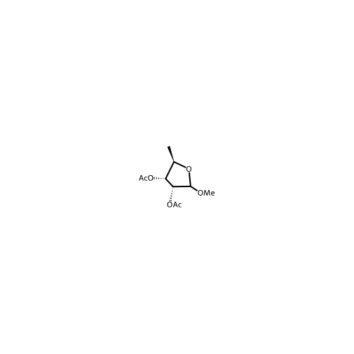 COC1O[C@H](C)[C@@H](OC(C)=O)[C@H]1OC(C)=O